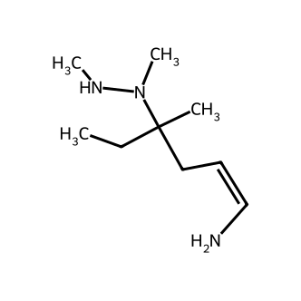 CCC(C)(C/C=C\N)N(C)NC